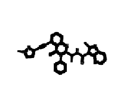 Cc1nn2cccnc2c1C(=O)NC(C)c1nc2cccc(C#Cc3ccn(C)n3)c2c(=O)n1-c1ccccc1